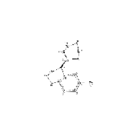 Brc1ccc2c(c1)C([C@@H]1CCCSS1)CCC2